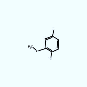 FC(F)(F)Oc1cc(I)ccc1Cl